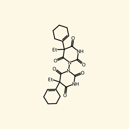 CCC1(C2=CCCCC2)C(=O)NC(=O)N(N2C(=O)NC(=O)C(CC)(C3=CCCCC3)C2=O)C1=O